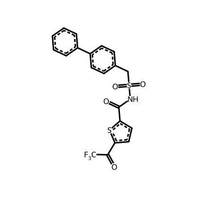 O=C(NS(=O)(=O)Cc1ccc(-c2ccccc2)cc1)c1ccc(C(=O)C(F)(F)F)s1